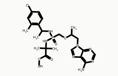 CCCOC(=O)C(C)(C)NP(=O)(COC(C)Cn1cnc2c(N)ncnc21)NC(C)c1ccc(Cl)cc1C